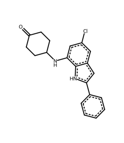 O=C1CCC(Nc2cc(Cl)cc3cc(-c4ccccc4)[nH]c23)CC1